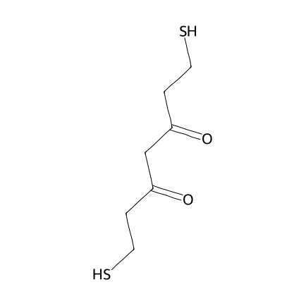 O=C(CCS)CC(=O)CCS